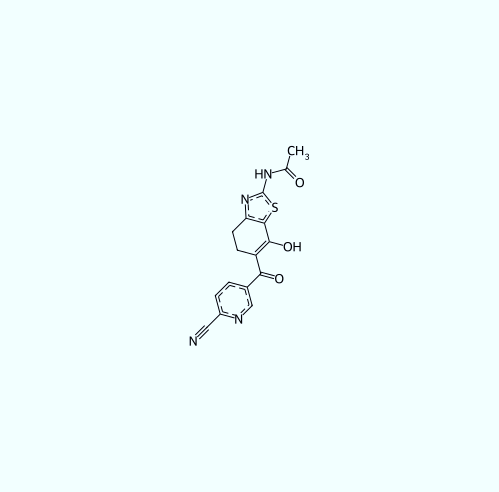 CC(=O)Nc1nc2c(s1)C(O)=C(C(=O)c1ccc(C#N)nc1)CC2